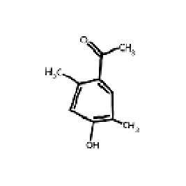 CC(=O)c1cc(C)c(O)cc1C